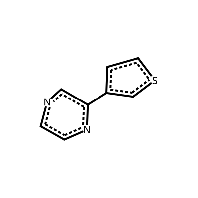 [c]1sccc1-c1cnccn1